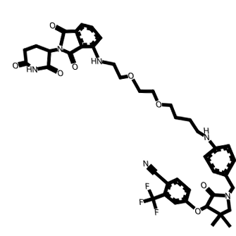 CC1(C)CN(Cc2ccc(NCCCCOCCOCCNc3cccc4c3C(=O)N(C3CCC(=O)NC3=O)C4=O)cc2)C(=O)C1Oc1ccc(C#N)c(C(F)(F)F)c1